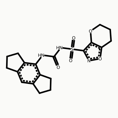 O=C(Nc1c2c(cc3c1CCC3)CCC2)NS(=O)(=O)c1noc2c1OCCC2